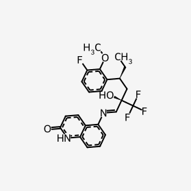 CC[C@@H](C[C@@](O)(C=Nc1cccc2[nH]c(=O)ccc12)C(F)(F)F)c1cccc(F)c1OC